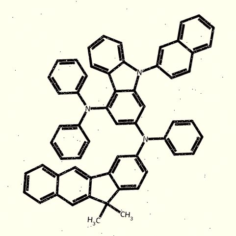 CC1(C)c2ccc(N(c3ccccc3)c3cc(N(c4ccccc4)c4ccccc4)c4c5ccccc5n(-c5ccc6ccccc6c5)c4c3)cc2-c2cc3ccccc3cc21